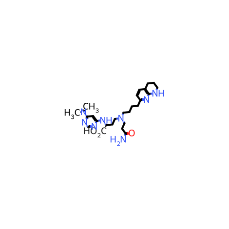 CN(C)c1cc(N[C@@H](CCN(CCCCc2ccc3c(n2)NCCC3)CCC(N)=O)C(=O)O)ncn1